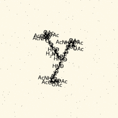 CC(=O)NC1C(OCCOCCNC(=O)CC[C@H](NCCC[C@H](N)C(=O)NCCOCCOC2OC3(COC(C)=O)C(OC(C)=O)C(OC(C)=O)C23NC(C)=O)C(=O)NCCOCCOC2OC(COC(C)=O)C(OC(C)=O)C(OC(C)=O)C2NC(C)=O)OC(COC(C)=O)C(OC(C)=O)C1OC(C)=O